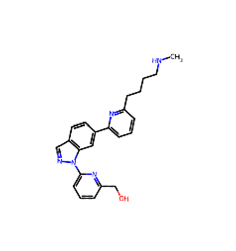 CNCCCCc1cccc(-c2ccc3cnn(-c4cccc(CO)n4)c3c2)n1